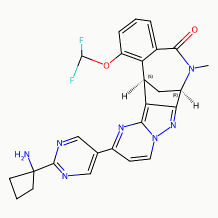 CN1C(=O)c2cccc(OC(F)F)c2[C@H]2C[C@@H]1c1nn3ccc(-c4cnc(C5(N)CCC5)nc4)nc3c12